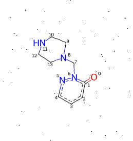 O=c1cccnn1CN1CCNCC1